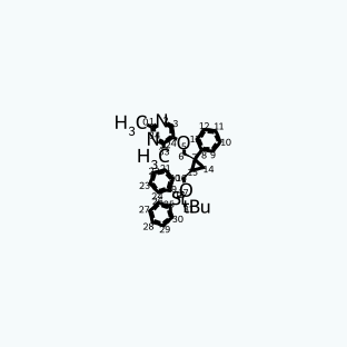 Cc1ncc(OC[C@@]2(c3ccccc3)C[C@H]2CO[Si](c2ccccc2)(c2ccccc2)C(C)(C)C)c(C)n1